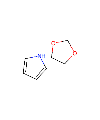 C1COCO1.c1cc[nH]c1